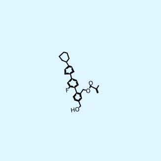 C=C(C)C(=O)OCc1cc(CO)ccc1-c1ccc(-c2ccc(C3CCCCC3)cc2)cc1F